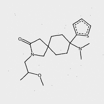 COC(C)CN1CC2(CCC(c3cccs3)(N(C)C)CC2)CC1=O